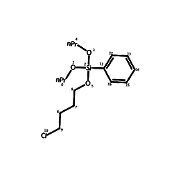 CCCO[Si](OCCC)(OCCCCCl)c1ccccc1